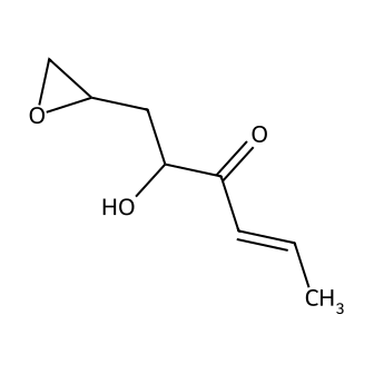 CC=CC(=O)C(O)CC1CO1